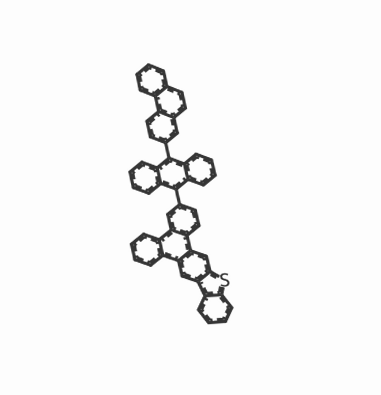 c1ccc2c(c1)ccc1cc(-c3c4ccccc4c(-c4ccc5c(c4)c4ccccc4c4cc6c(cc54)sc4ccccc46)c4ccccc34)ccc12